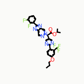 CCCOc1ccc(-c2ncc(C(C(=O)OC(C)C)n3cc4nc(-c5cccc(F)c5F)nc-4cn3)cn2)c(C(F)(F)F)c1